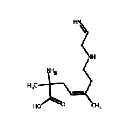 CC(=CCC(C)(N)C(=O)O)CCNCC=N